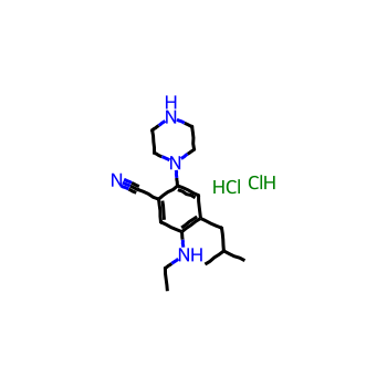 CCNc1cc(C#N)c(N2CCNCC2)cc1CC(C)C.Cl.Cl